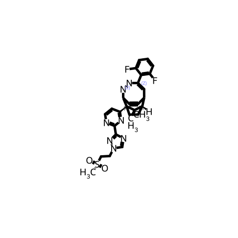 CC1(C)[C@H]2CC[C@]1(c1ccnc(-c3ncn(CCS(C)(=O)=O)n3)n1)C1C#CC2/C=C(c2c(F)cccc2F)\N=N/1